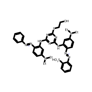 CCN(CC)c1ccc(/N=N/c2ccccc2)c(Nc2nc(Nc3cc(N(CC)CC)ccc3/N=N/c3ccccc3S(=O)(=O)O)nc(SCCO)n2)c1